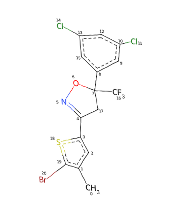 Cc1cc(C2=NOC(c3cc(Cl)cc(Cl)c3)(C(F)(F)F)C2)sc1Br